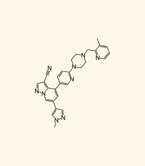 Cc1cccnc1CN1CCN(c2ccc(-c3cc(-c4cnn(C)c4)cn4ncc(C#N)c34)cn2)CC1